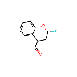 O=CC1CC(F)Oc2ccccc21